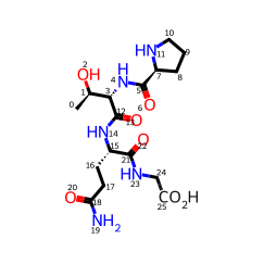 C[C@@H](O)[C@H](NC(=O)[C@@H]1CCCN1)C(=O)N[C@@H](CCC(N)=O)C(=O)NCC(=O)O